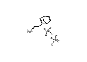 C=CCC1=CC2C=CC1C2.[O-][Cl+3]([O-])([O-])[O-].[O-][Cl+3]([O-])([O-])[O-].[Pd+2]